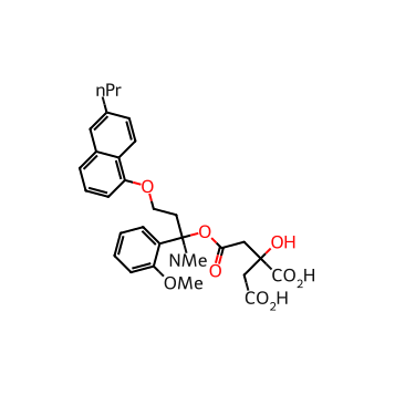 CCCc1ccc2c(OCCC(NC)(OC(=O)CC(O)(CC(=O)O)C(=O)O)c3ccccc3OC)cccc2c1